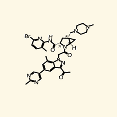 CC(=O)c1nn(CC(=O)N2[C@H](C(=O)Nc3nc(Br)ccc3C)C[C@@]3(CN4CCN(C)CC4)C[C@@H]23)c2c(C)cc(-c3cnc(C)nc3)cc12